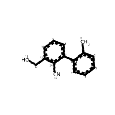 Cc1ccccc1-c1cccc(CO)c1C#N